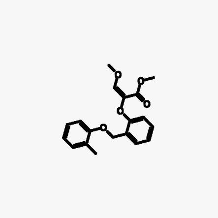 COC=C(Oc1ccccc1COc1ccccc1C)C(=O)OC